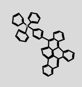 c1ccc([Si](c2ccccc2)(c2ccccc2)c2ccc(-c3c4ccccc4c(-c4ccccc4-c4ccc5ccccc5c4)c4ccccc34)cc2)cc1